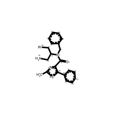 Cc1nc(C(=O)N(Cc2ccccc2)C(CN)CC(C)C)c(-c2ccccc2)s1